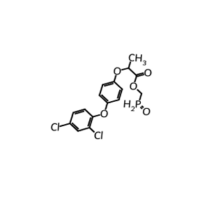 CC(Oc1ccc(Oc2ccc(Cl)cc2Cl)cc1)C(=O)OC[PH2]=O